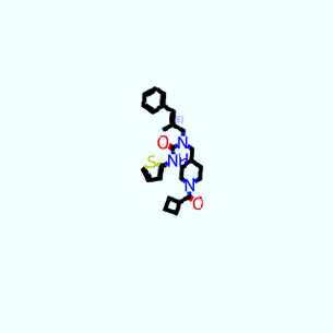 C/C(=C\c1ccccc1)CN(CC1CCN(C(=O)C2CCC2)CC1)C(=O)Nc1cccs1